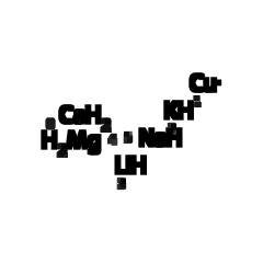 [CaH2].[Cu].[KH].[LiH].[MgH2].[NaH]